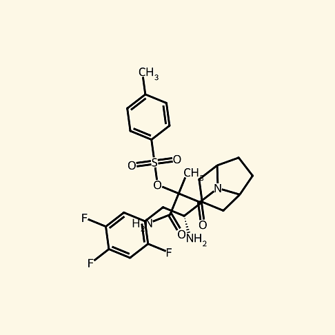 Cc1ccc(S(=O)(=O)OC(C)(C(N)=O)C(=O)N2C3CCC2CC([C@H](N)Cc2cc(F)c(F)cc2F)C3)cc1